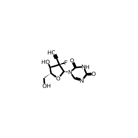 C#C[C@@]1(F)C(O)[C@@H](CO)O[C@H]1n1cnc(=O)[nH]c1=O